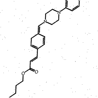 CCCCOC(=O)C=CC1=CCC(=CN2CCN(c3ccncc3)CC2)C=C1